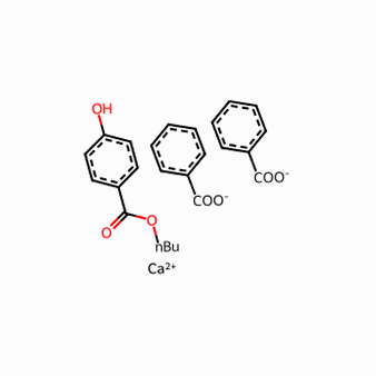 CCCCOC(=O)c1ccc(O)cc1.O=C([O-])c1ccccc1.O=C([O-])c1ccccc1.[Ca+2]